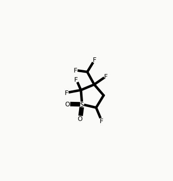 O=S1(=O)C(F)CC(F)(C(F)F)C1(F)F